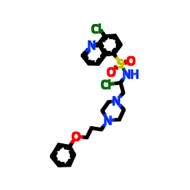 O=S(=O)(NC(Cl)CN1CCN(CCCOc2ccccc2)CC1)c1ccc(Cl)c2ncccc12